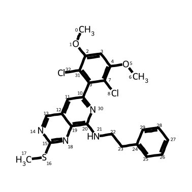 COc1cc(OC)c(Cl)c(-c2cc3cnc(SC)nc3c(NCCc3ccccc3)n2)c1Cl